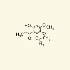 CCC(=O)c1c(O)cc(OC)c(OC)c1OC